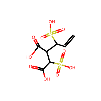 C=CC(C(C(=O)O)C(C(=O)O)S(=O)(=O)O)S(=O)(=O)O